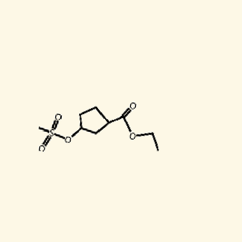 CCOC(=O)C1CCC(OS(C)(=O)=O)C1